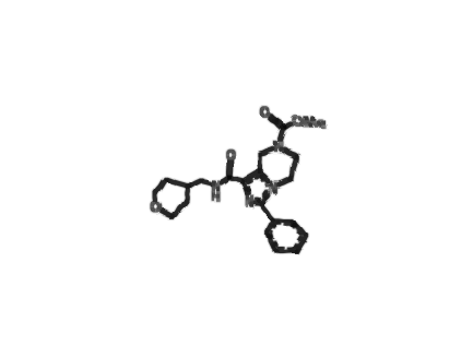 COC(=O)N1CCn2c(-c3ccccc3)nc(C(=O)NCC3CCOCC3)c2C1